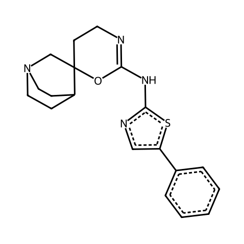 c1ccc(-c2cnc(NC3=NCCC4(CN5CCC4CC5)O3)s2)cc1